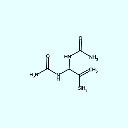 C=C([SiH3])C(NC(N)=O)NC(N)=O